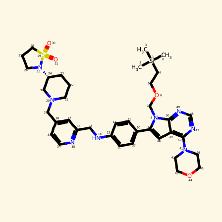 C[Si](C)(C)CCOCn1c(-c2ccc(NCc3cc(CN4CCC[C@@H](N5CCCS5(=O)=O)C4)ccn3)cc2)cc2c(N3CCOCC3)ncnc21